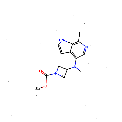 Cc1ncc(N(C)C2CN(C(=O)OC(C)(C)C)C2)c2cc[nH]c12